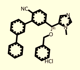 Cl.Cn1cncc1[C@H](OCc1ccccc1)c1ccc(C#N)c(-c2cccc(-c3ccccc3)c2)c1